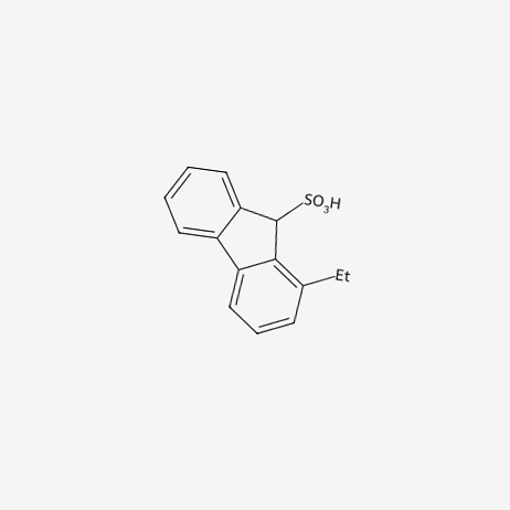 [CH2]Cc1cccc2c1C(S(=O)(=O)O)c1ccccc1-2